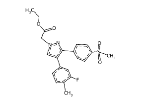 CCOC(=O)Cn1cc(-c2ccc(C)c(F)c2)c(-c2ccc(S(C)(=O)=O)cc2)n1